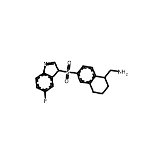 NCC1CCCc2cc(S(=O)(=O)C3C=Nc4ccc(F)cc43)ccc21